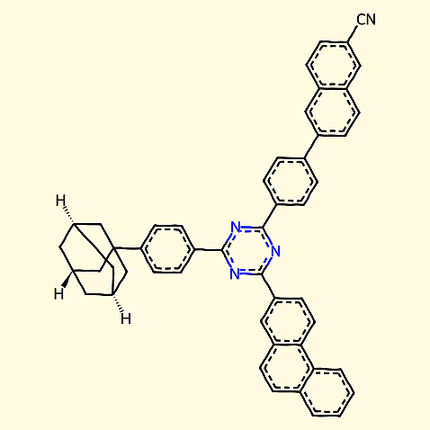 N#Cc1ccc2cc(-c3ccc(-c4nc(-c5ccc(C67C[C@H]8C[C@@H](C6)C[C@@H](C7)C8)cc5)nc(-c5ccc6c(ccc7ccccc76)c5)n4)cc3)ccc2c1